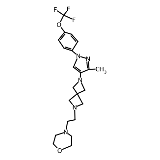 Cc1nn(-c2ccc(OC(F)(F)F)cc2)cc1N1CC2(CN(CCN3CCOCC3)C2)C1